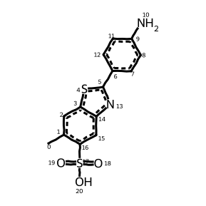 Cc1cc2sc(-c3ccc(N)cc3)nc2cc1S(=O)(=O)O